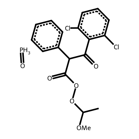 COC(C)OOC(=O)C(C(=O)c1c(Cl)cccc1Cl)c1ccccc1.O=[PH3]